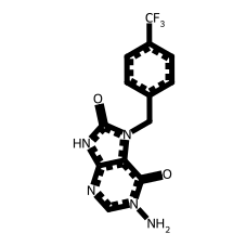 Nn1cnc2[nH]c(=O)n(Cc3ccc(C(F)(F)F)cc3)c2c1=O